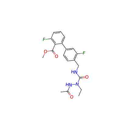 CCN(NC(C)=O)C(=O)NCc1ccc(-c2cccc(F)c2C(=O)OC)cc1F